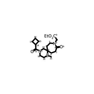 CCOC(=O)CN1CCC2(CCC1=O)CN(C(=O)C1CCC1)CCN2C